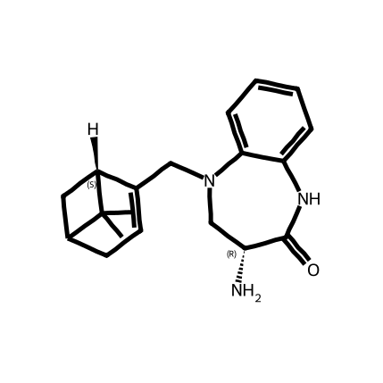 CC1(C)C2CC=C(CN3C[C@@H](N)C(=O)Nc4ccccc43)[C@H]1C2